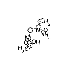 COc1cc(C(N)=O)nc(-c2cccc(-c3cc([C@]4(O)CCN(C)C4=O)on3)c2)c1